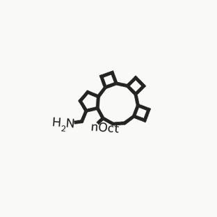 CCCCCCCCC1CCC2CCC2C2CCC2C2CCC2C2CCC(CN)C12